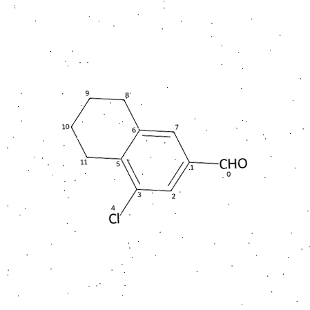 O=Cc1cc(Cl)c2c(c1)CCCC2